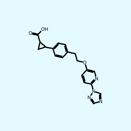 O=C(O)C1CC1c1ccc(CCOc2ccc(-n3cncn3)nc2)cc1